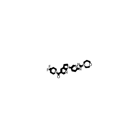 O=C(c1cnc2c(ccn2-c2ccc3nc(N4CCCOCC4)nn3c2)c1)N1CCC(F)(F)CC1